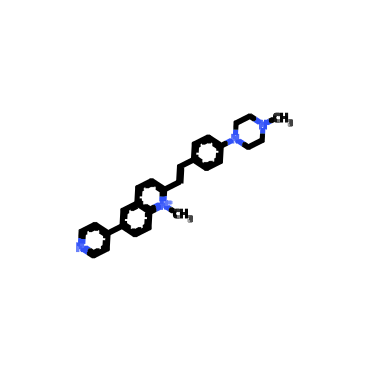 CN1CCN(c2ccc(/C=C/c3ccc4cc(-c5ccncc5)ccc4[n+]3C)cc2)CC1